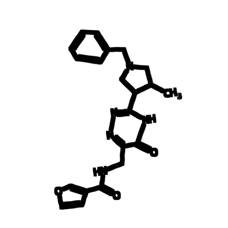 CC1CN(Cc2ccccc2)CC1c1nnc(CNC(=O)c2ccoc2)c(=O)[nH]1